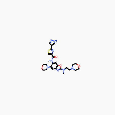 CN(CCN1CCOCC1)c1nc2cc(N3CCOCC3)c(NC(=O)c3csc(-c4cn[nH]c4)n3)cc2o1